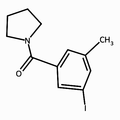 Cc1cc(I)cc(C(=O)N2CCCC2)c1